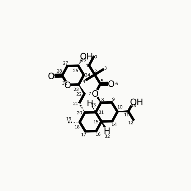 CCC(C)(C)C(=O)O[C@H]1C[C@@H](C(C)O)C[C@@H]2CC[C@H](C)[C@H](CC[C@@H]3C[C@@H](O)CC(=O)O3)[C@H]21